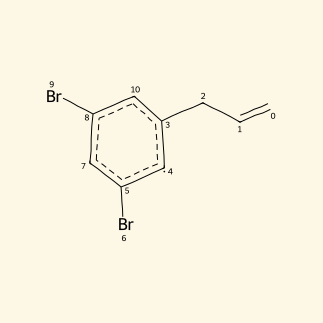 C=CCc1[c]c(Br)cc(Br)c1